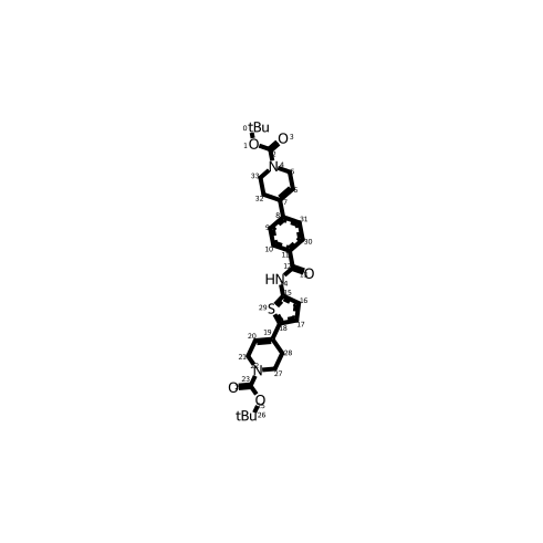 CC(C)(C)OC(=O)N1CC=C(c2ccc(C(=O)Nc3ccc(C4=CCN(C(=O)OC(C)(C)C)CC4)s3)cc2)CC1